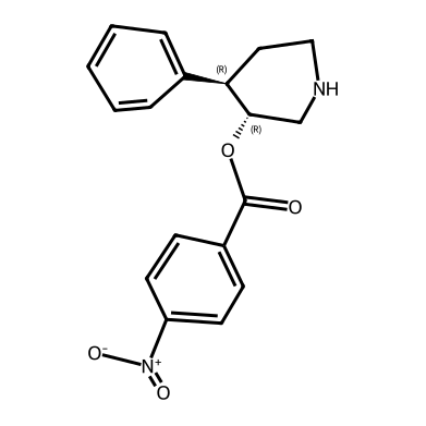 O=C(O[C@H]1CNCC[C@@H]1c1ccccc1)c1ccc([N+](=O)[O-])cc1